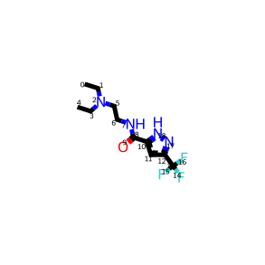 CCN(CC)CCNC(=O)c1cc(C(F)(F)F)n[nH]1